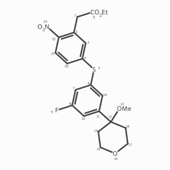 CCOC(=O)Cc1cc(Sc2cc(F)cc(C3(OC)CCOCC3)c2)ccc1[N+](=O)[O-]